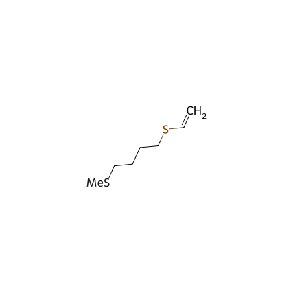 C=CSCCCCSC